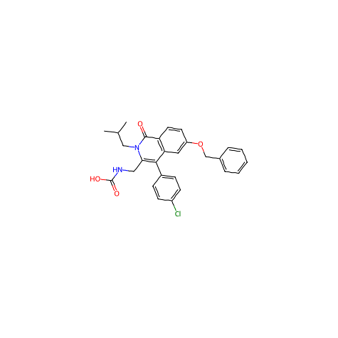 CC(C)Cn1c(CNC(=O)O)c(-c2ccc(Cl)cc2)c2cc(OCc3ccccc3)ccc2c1=O